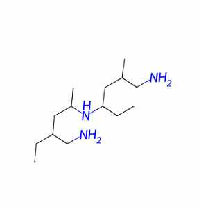 CCC(CN)CC(C)NC(CC)CC(C)CN